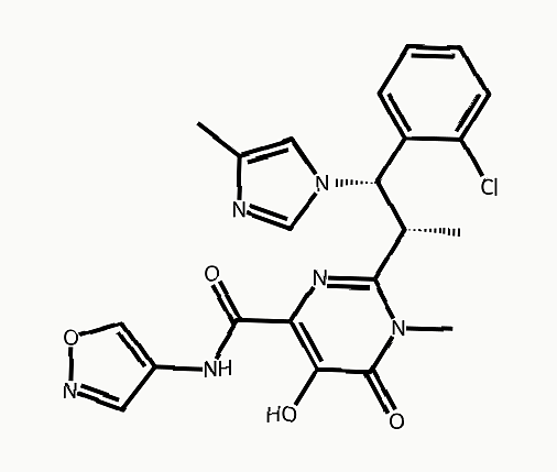 Cc1cn([C@H](c2ccccc2Cl)[C@H](C)c2nc(C(=O)Nc3cnoc3)c(O)c(=O)n2C)cn1